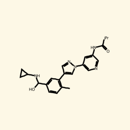 Cc1ccc(C(O)NC2CC2)cc1-c1cnn(-c2cncc(NC(=O)C(C)C)c2)c1